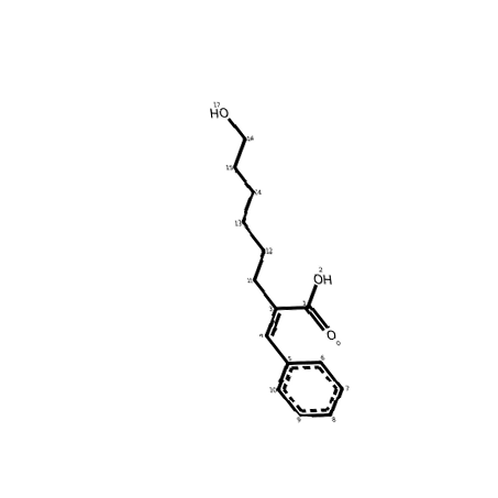 O=C(O)C(=Cc1ccccc1)CCCCCCO